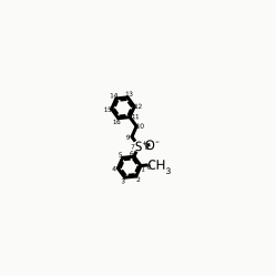 Cc1ccccc1[S+]([O-])CCc1ccccc1